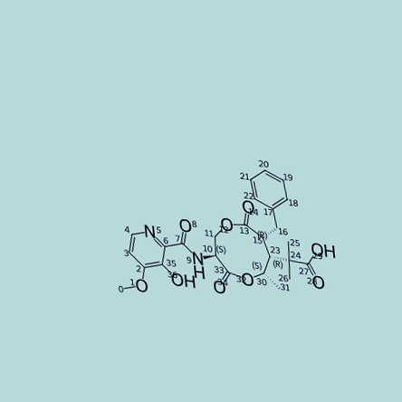 COc1ccnc(C(=O)N[C@H]2COC(=O)[C@H](Cc3ccccc3)[C@H](C(C)(C)C(=O)O)[C@H](C)OC2=O)c1O